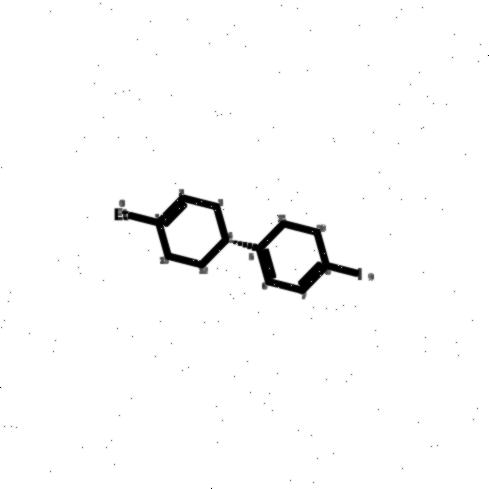 CCC1=CC[C@H](C2=CC=C(I)CC2)CC1